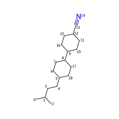 CC(C)CCC1CCC(C2CCC(C#N)CC2)CC1